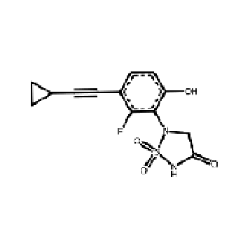 O=C1CN(c2c(O)ccc(C#CC3CC3)c2F)S(=O)(=O)N1